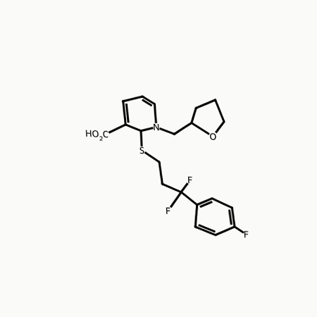 O=C(O)C1=CC=CN(CC2CCCO2)C1SCCC(F)(F)c1ccc(F)cc1